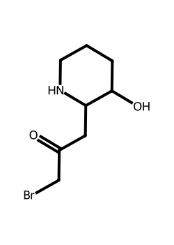 O=C(CBr)CC1NCCCC1O